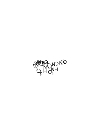 C=CC(=O)Nc1cc(Nc2cc(N3OCCC3c3ccc(F)cc3)ncn2)c(OC)cc1N1CCC(N2CCOCC2)CC1